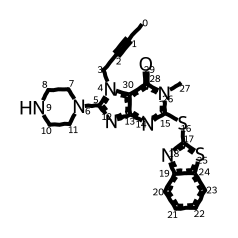 CC#CCn1c(N2CCNCC2)nc2nc(Sc3nc4ccccc4s3)n(C)c(=O)c21